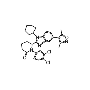 Cc1noc(C)c1-c1ccc2c(c1)nc([C@@H]1CCCC(=O)N1c1ccc(Cl)c(Cl)c1)n2C1CCCCC1